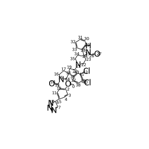 COc1ccc(C2C=NN=N2)cc1C(=O)N1CCC(CCN2CCC(NC=O)(c3ccccc3)CC2)(c2ccc(Cl)c(Cl)c2)C1